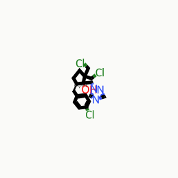 O[C@]1(Cn2cncn2)[C@@H](Cc2ccc(Cl)cc2)CCC1(CCl)CCl